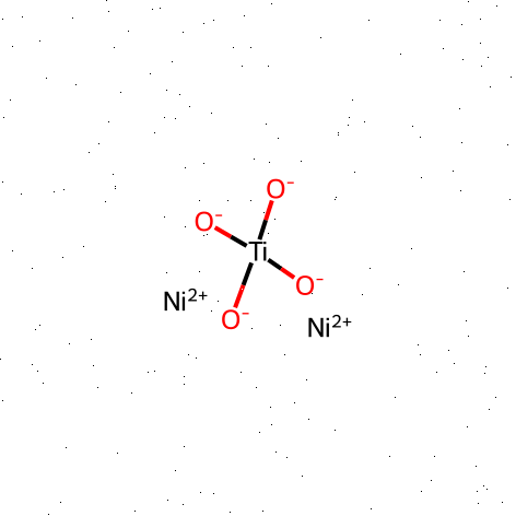 [Ni+2].[Ni+2].[O-][Ti]([O-])([O-])[O-]